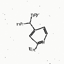 CCCC(CCC)c1ccnc(CC)c1